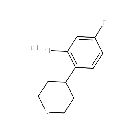 Cl.Fc1ccc(C2CCNCC2)c(Cl)c1